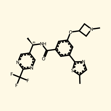 Cc1cnc(-c2cc(OC3CN(C)C3)cc(C(=O)N[C@H](C)c3cnc(C(F)(F)F)nc3)c2)s1